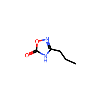 C[CH]Cc1noc(=O)[nH]1